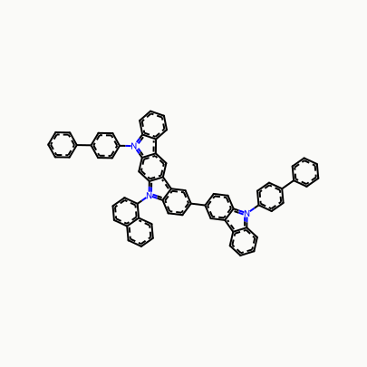 c1ccc(-c2ccc(-n3c4ccccc4c4cc(-c5ccc6c(c5)c5cc7c8ccccc8n(-c8ccc(-c9ccccc9)cc8)c7cc5n6-c5cccc6ccccc56)ccc43)cc2)cc1